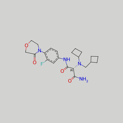 NC(=O)[C@H](C(=O)Nc1ccc(N2CCOCC2=O)c(F)c1)N(CC1CCC1)C1CCC1